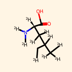 [2H]CC([2H])(C([2H])([2H])[2H])C([2H])([2H])[C@@]([2H])(C(=O)O)N([2H])[2H]